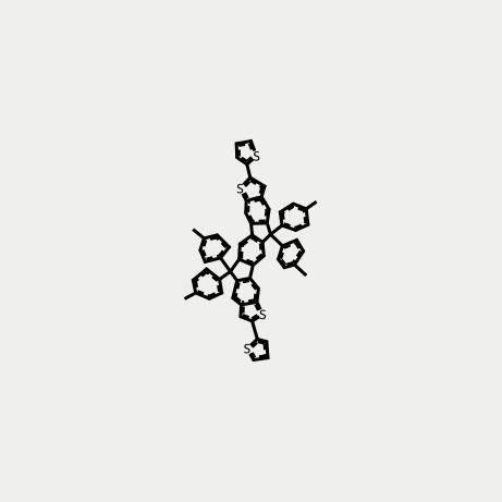 Cc1ccc(C2(c3ccc(C)cc3)c3cc4c(cc3-c3cc5sc(-c6cccs6)cc5cc32)C(c2ccc(C)cc2)(c2ccc(C)cc2)c2cc3cc(-c5cccs5)sc3cc2-4)cc1